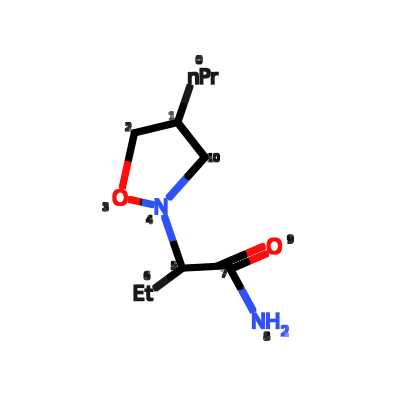 CCCC1CON(C(CC)C(N)=O)C1